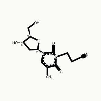 Cc1cn([C@H]2C[C@H](O)[C@@H](CO)O2)c(=O)n(CCC#N)c1=O